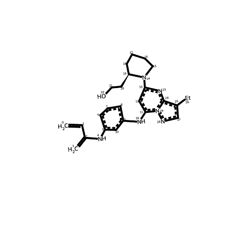 C=CC(=C)Nc1cccc(Nc2cc(N3CCCC[C@@H]3CCO)nc3c(CC)cnn23)c1